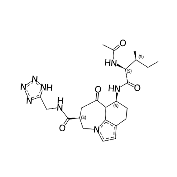 CC[C@H](C)[C@H](NC(C)=O)C(=O)N[C@H]1CCc2ccn3c2C1C(=O)C[C@H](C(=O)NCc1nnn[nH]1)C3